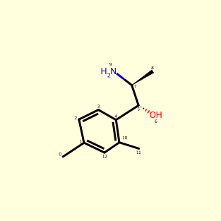 Cc1ccc([C@@H](O)[C@H](C)N)c(C)c1